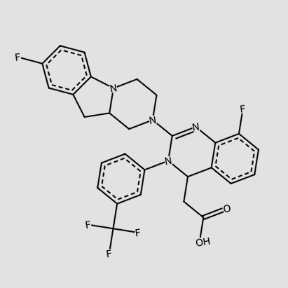 O=C(O)CC1c2cccc(F)c2N=C(N2CCN3c4ccc(F)cc4CC3C2)N1c1cccc(C(F)(F)F)c1